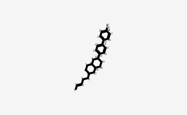 C/C=C/CCC1CCC2CC(c3ccc(-c4ccc(F)cc4)cc3)CCC2C1